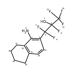 Nc1c(C(F)(F)C(O)(F)C(F)(F)F)ccc2c1CCCC2